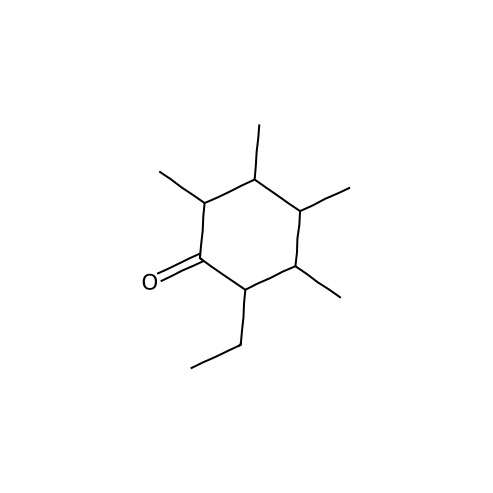 CCC1C(=O)C(C)C(C)C(C)C1C